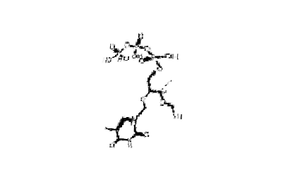 Cc1cn(COC(COP(=O)(O)OP(=O)(O)OP(=O)(O)O)[C@H](C)OCS)c(=O)[nH]c1=O